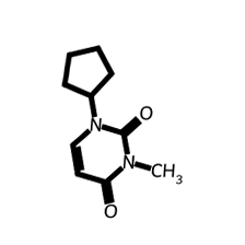 Cn1c(=O)ccn(C2CCCC2)c1=O